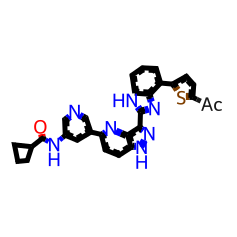 CC(=O)c1ccc(-c2cccc3[nH]c(-c4n[nH]c5ccc(-c6cncc(NC(=O)C7CCC7)c6)nc45)nc23)s1